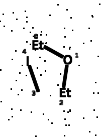 CCOCC.CI